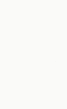 CCC[CH]/C=C/c1ccccc1